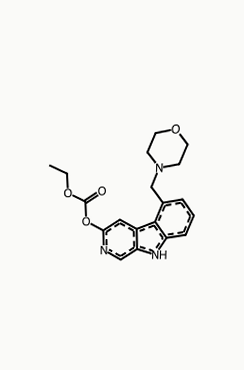 CCOC(=O)Oc1cc2c(cn1)[nH]c1cccc(CN3CCOCC3)c12